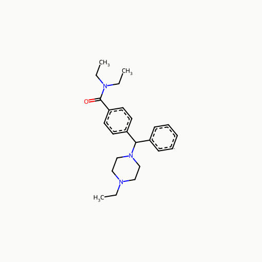 CCN1CCN(C(c2c[c]ccc2)c2ccc(C(=O)N(CC)CC)cc2)CC1